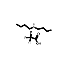 CCCCNCCCC.O=C(O)C(F)(F)Cl